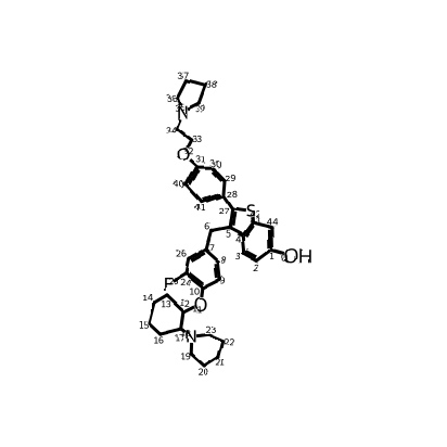 Oc1ccc2c(Cc3ccc(OC4CCCCC4N4CCCCC4)c(F)c3)c(-c3ccc(OCCN4CCCC4)cc3)sc2c1